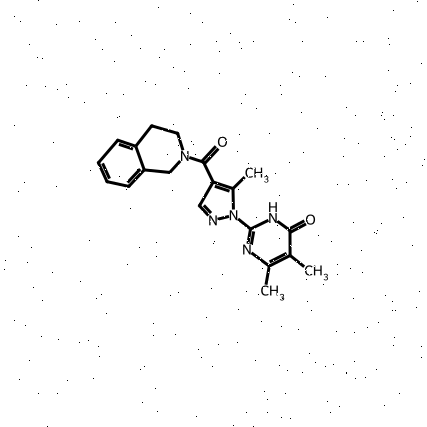 Cc1nc(-n2ncc(C(=O)N3CCc4ccccc4C3)c2C)[nH]c(=O)c1C